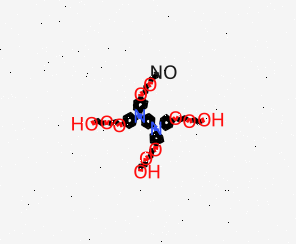 O=NCCOCCOc1ccc(N(c2ccc(OCCOCCO)cc2)c2ccc(N(c3ccc(OCCOCCO)cc3)c3ccc(OCCOCCO)cc3)cc2)cc1